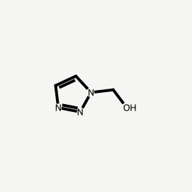 OCn1ccnn1